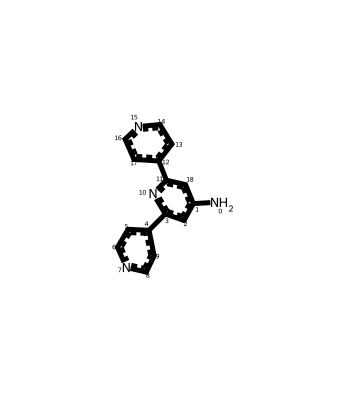 Nc1cc(-c2ccncc2)nc(-c2ccncc2)c1